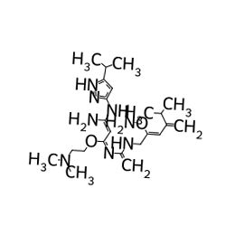 C=C(/N=C(\C=C(/N)Nc1cc(C(C)C)[nH]n1)OCCN(C)C)NC/C(=C/C(=C)C(C)C)ON